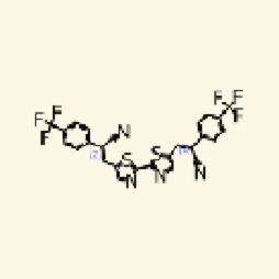 N#C/C(=C\c1cnc(-c2ncc(/C=C(\C#N)c3ccc(C(F)(F)F)cc3)s2)s1)c1ccc(C(F)(F)F)cc1